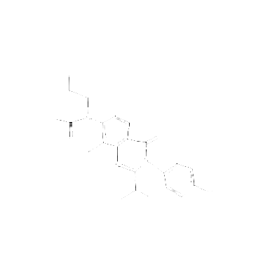 CC(=O)N(CCO)c1ccc2c(=O)n(-c3ccc(Cl)cc3)c(C(C)C)nc2c1I